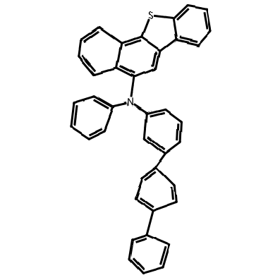 c1ccc(-c2ccc(-c3cccc(N(c4ccccc4)c4cc5c6ccccc6sc5c5ccccc45)c3)cc2)cc1